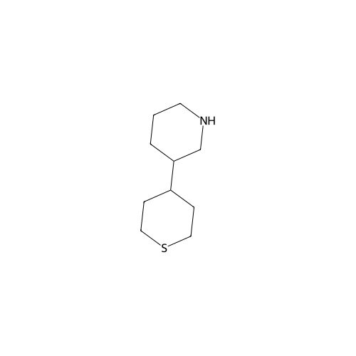 C1CNCC(C2CCSCC2)C1